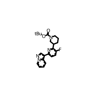 CC(C)(C)OC(=O)N1CCCC(c2nc(-c3cnn4ccccc34)ccc2F)C1